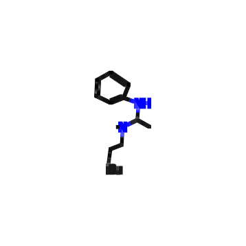 CCC(C)CC[N]C(C)Nc1ccccc1